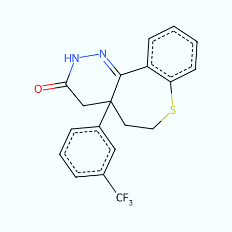 O=C1CC2(c3cccc(C(F)(F)F)c3)CCSc3ccccc3C2=NN1